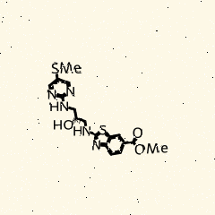 COC(=O)c1ccc2nc(NC[C@H](O)CNc3ncc(SC)cn3)sc2c1